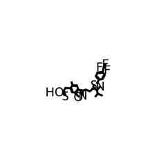 Cc1cc2c(CCc3sc(-c4ccc(C(F)(F)F)cc4)nc3C(C)C)noc2cc1CC(O)=S